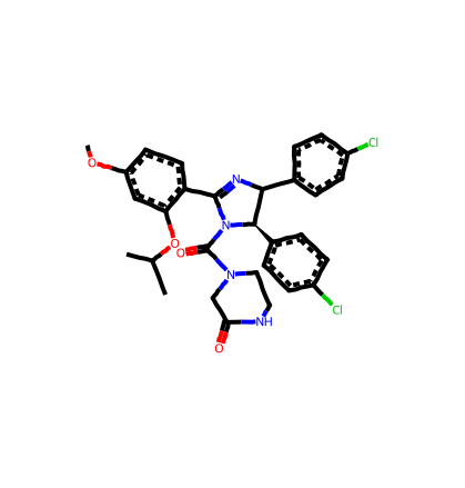 COc1ccc(C2=NC(c3ccc(Cl)cc3)[C@@H](c3ccc(Cl)cc3)N2C(=O)N2CCNC(=O)C2)c(OC(C)C)c1